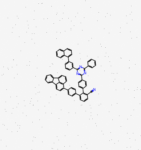 N#Cc1cccc(-c2ccc(-c3ccc4c5c(cccc35)-c3ccccc3-4)cc2)c1-c1ccc(-c2nc(-c3ccccc3)nc(-c3cccc(-c4cccc5ccccc45)c3)n2)cc1